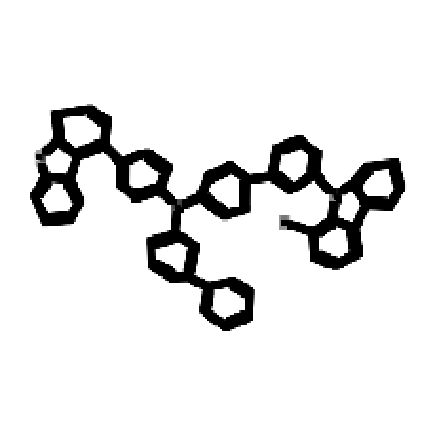 Fc1cccc2c3ccccc3n(-c3cccc(-c4ccc(N(c5ccc(-c6cccc7sc8ccccc8c67)cc5)c5cccc(-c6ccccc6)c5)cc4)c3)c12